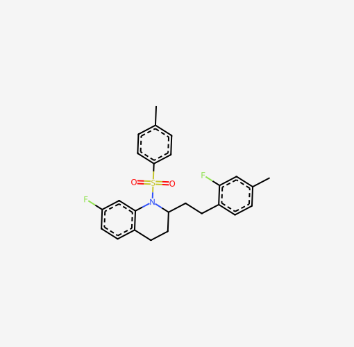 Cc1ccc(S(=O)(=O)N2c3cc(F)ccc3CCC2CCc2ccc(C)cc2F)cc1